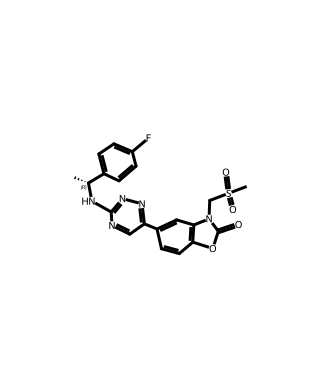 C[C@@H](Nc1ncc(-c2ccc3oc(=O)n(CS(C)(=O)=O)c3c2)nn1)c1ccc(F)cc1